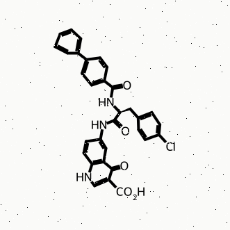 O=C(N[C@@H](Cc1ccc(Cl)cc1)C(=O)Nc1ccc2[nH]cc(C(=O)O)c(=O)c2c1)c1ccc(-c2ccccc2)cc1